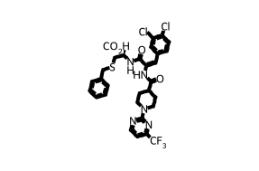 O=C(N[C@@H](CSCc1ccccc1)C(=O)O)/C(=C\c1ccc(Cl)c(Cl)c1)NC(=O)C1CCN(c2nccc(C(F)(F)F)n2)CC1